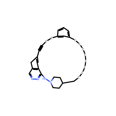 C1#CC2=Cc3c(cnnc3NN3CCC(CCCCCCCCCc4cccc(c4)CC1)CC3)C2